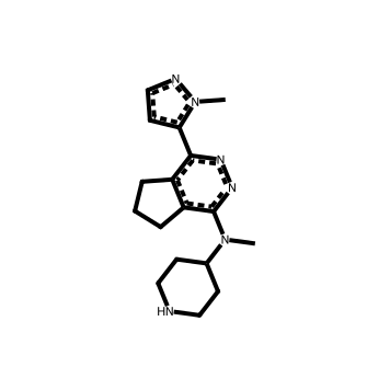 CN(c1nnc(-c2ccnn2C)c2c1CCC2)C1CCNCC1